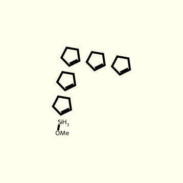 C1=CCCC1.C1=CCCC1.C1=CCCC1.C1=CCCC1.C1=CCCC1.CO[SiH3]